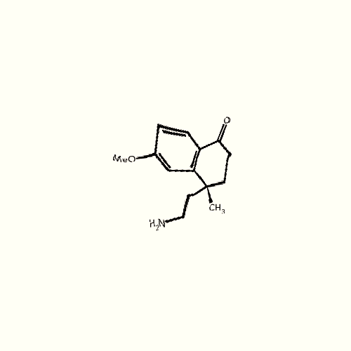 COc1ccc2c(c1)[C@@](C)(CCN)CCC2=O